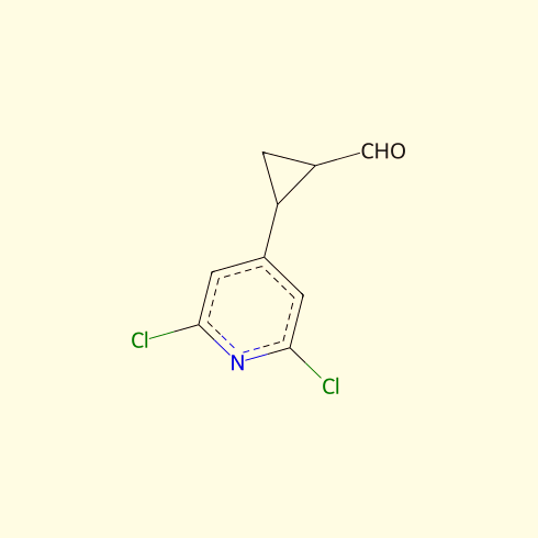 O=CC1CC1c1cc(Cl)nc(Cl)c1